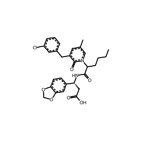 CCCCC(C(=O)N[C@@H](CC(=O)O)c1ccc2c(c1)OCO2)n1cc(C)cc(Cc2cccc(Cl)c2)c1=O